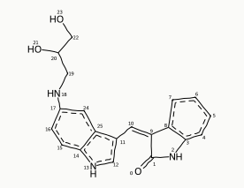 O=C1Nc2ccccc2C1=Cc1c[nH]c2ccc(NCC(O)CO)cc12